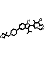 Cc1c(-c2[nH]c3ccc(C4CCN(CC5(C)COC5)CC4)cc3c2C(C)C)cn2cnnc2c1Cl